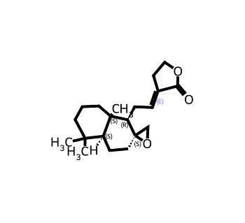 CC1(C)CCC[C@@]2(C)[C@H]1CC[C@@]1(CO1)[C@@H]2C/C=C1\CCOC1=O